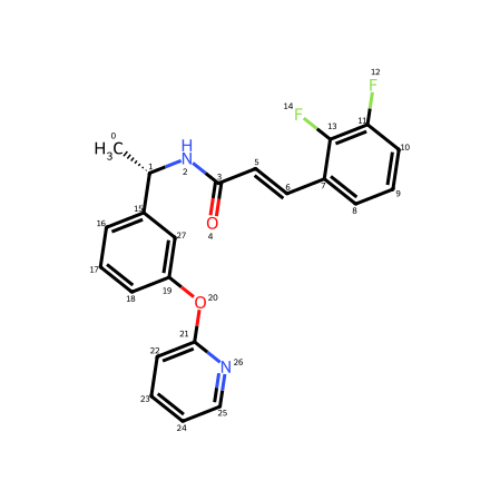 C[C@H](NC(=O)C=Cc1cccc(F)c1F)c1cccc(Oc2ccccn2)c1